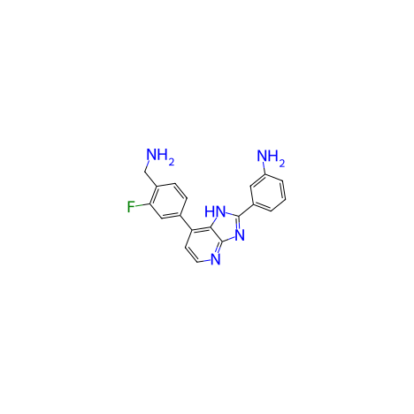 NCc1ccc(-c2ccnc3nc(-c4cccc(N)c4)[nH]c23)cc1F